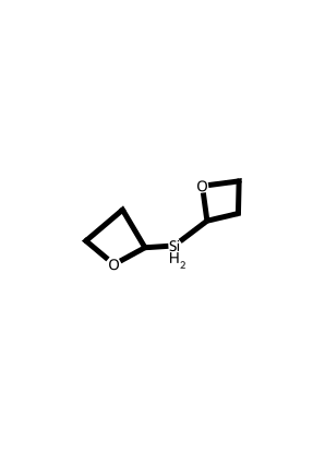 C1CC([SiH2]C2CCO2)O1